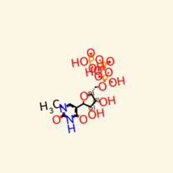 Cn1cc(C2O[C@H](COP(=O)(O)OP(=O)(O)OP(=O)(O)O)[C@H](O)[C@@H]2O)c(=O)[nH]c1=O